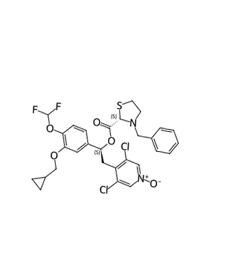 O=C(O[C@@H](Cc1c(Cl)c[n+]([O-])cc1Cl)c1ccc(OC(F)F)c(OCC2CC2)c1)[C@@H]1SCCN1Cc1ccccc1